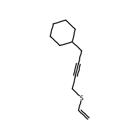 C=CSCC#CCC1CCCCC1